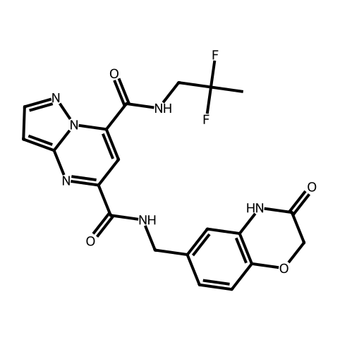 CC(F)(F)CNC(=O)c1cc(C(=O)NCc2ccc3c(c2)NC(=O)CO3)nc2ccnn12